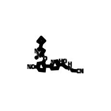 Cn1nc(C2CCC2)cc1Oc1cc(C#N)ccc1-c1ccc(C(O)CNCC#N)cn1